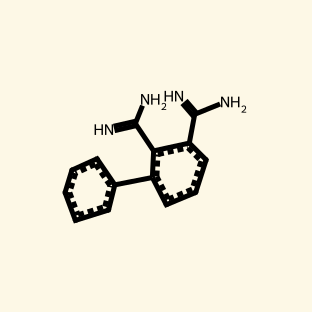 N=C(N)c1cccc(-c2ccccc2)c1C(=N)N